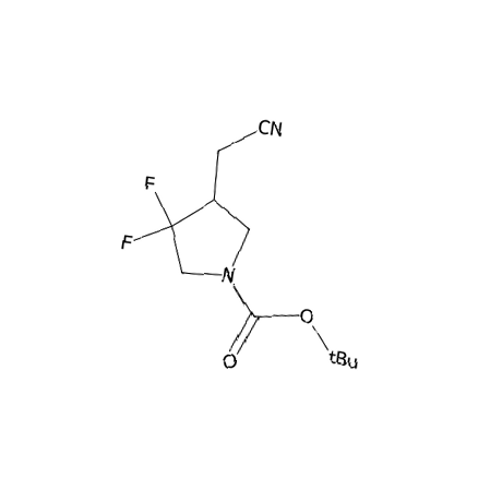 CC(C)(C)OC(=O)N1CC(CC#N)C(F)(F)C1